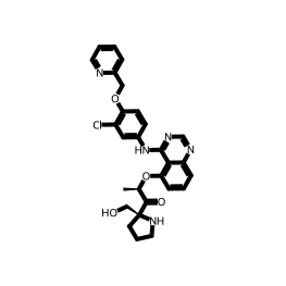 C[C@@H](Oc1cccc2ncnc(Nc3ccc(OCc4ccccn4)c(Cl)c3)c12)C(=O)[C@@]1(CO)CCCN1